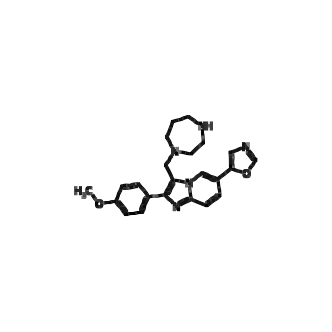 COc1ccc(-c2nc3ccc(-c4cnco4)cn3c2CN2CCCNCC2)cc1